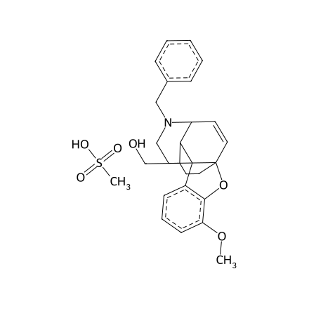 COc1cccc2c1OC13C=CC4C(C(CO)CC1)C23CCN4Cc1ccccc1.CS(=O)(=O)O